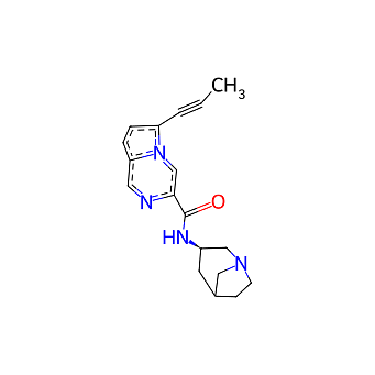 CC#Cc1ccc2cnc(C(=O)N[C@@H]3CC4CCN(C4)C3)cn12